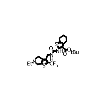 CCN1CCc2c(sc(C(F)(F)F)c2CNC(=O)Nc2sc3c(c2C(=O)OC(C)(C)C)CCCC3)C1